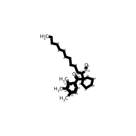 CCCCCCCCCCCC(P=O)C1(C(=O)c2ccc(C)c(C)c2C)CCCCC1